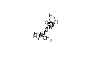 Cc1c(Cl)cnn(COCC[Si](C)(C)C)c1=O